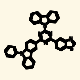 c1ccc(-n2c3ccccc3c3cc(-c4nc(-c5ccc6scnc6c5)nc(-n5c6ccccc6c6ccccc65)n4)ccc32)cc1